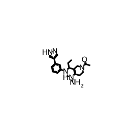 CCC(Nc1cccc(-c2cn[nH]c2)c1)C1=C(N(C)N)CCN(C(C)=O)C1